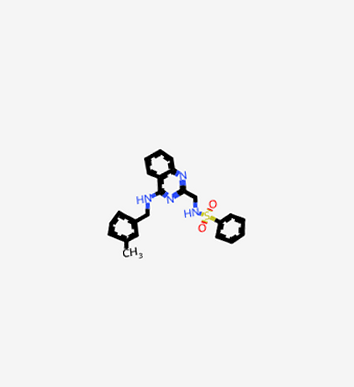 Cc1cccc(CNc2nc(CNS(=O)(=O)c3ccccc3)nc3ccccc23)c1